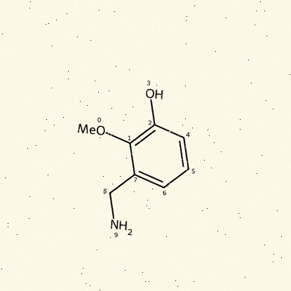 COc1c(O)cccc1CN